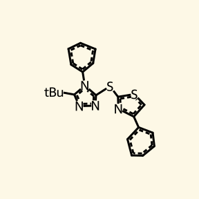 CC(C)(C)c1nnc(Sc2nc(-c3ccccc3)cs2)n1-c1ccccc1